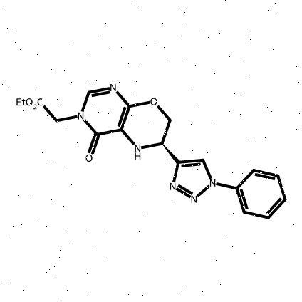 CCOC(=O)Cn1cnc2c(c1=O)N[C@H](c1cn(-c3ccccc3)nn1)CO2